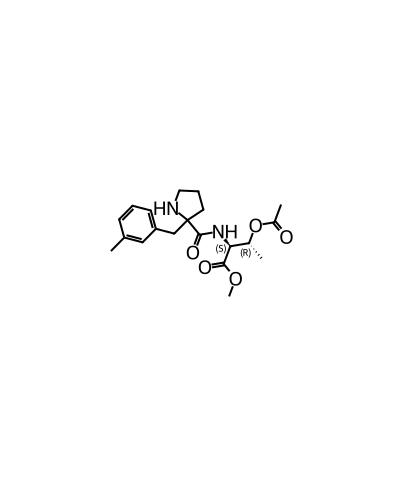 COC(=O)[C@@H](NC(=O)C1(Cc2cccc(C)c2)CCCN1)[C@@H](C)OC(C)=O